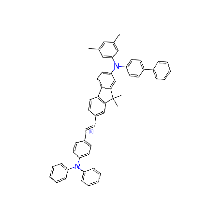 Cc1cc(C)cc(N(c2ccc(-c3ccccc3)cc2)c2ccc3c(c2)C(C)(C)c2cc(/C=C/c4ccc(N(c5ccccc5)c5ccccc5)cc4)ccc2-3)c1